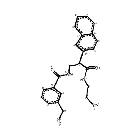 N#CCCNC(=O)C(CNC(=O)c1cccc(CCl)c1)c1ccc2ccccc2c1